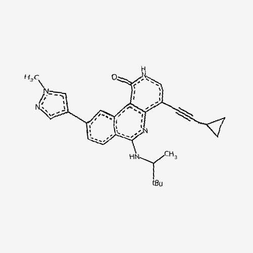 CC(Nc1nc2c(C#CC3CC3)c[nH]c(=O)c2c2cc(-c3cnn(C)c3)ccc12)C(C)(C)C